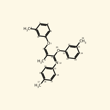 CC(=COc1cccc(C)c1)C(=Nc1ccc(C)cc1)Oc1cccc(C)c1